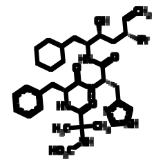 C=C[C@@H](C[C@H](O)[C@H](CC1CCCCC1)NC(=O)[C@H](Cc1c[nH]cn1)NC(=O)[C@H](Cc1ccccc1)NC(=O)C(C)(C)NC(=O)O)C(C)C